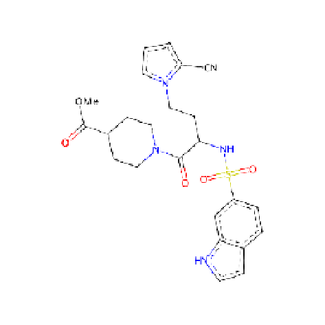 COC(=O)C1CCN(C(=O)C(CCn2cccc2C#N)NS(=O)(=O)c2ccc3cc[nH]c3c2)CC1